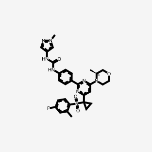 Cc1cc(F)ccc1S(=O)(=O)C1(c2cc(N3CCOC[C@@H]3C)nc(-c3ccc(NC(=O)Nc4cnn(C)c4)cc3)n2)CC1